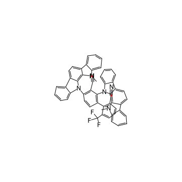 Cn1c2ccccc2c2ccc3c4ccccc4n(-c4ccc(-c5c(C#N)cccc5C(F)(F)F)c(-n5c6ccccc6c6ccc7c8ccccc8n(C)c7c65)c4C#N)c3c21